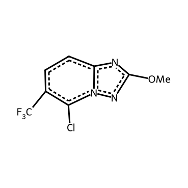 COc1nc2ccc(C(F)(F)F)c(Cl)n2n1